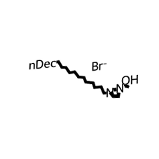 CCCCCCCCCCCCCCCCCCCCCCn1cc[n+](C(C)O)c1.[Br-]